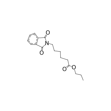 CCCOC(=O)CCCCCN1C(=O)c2ccccc2C1=O